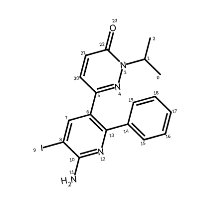 CC(C)n1nc(-c2cc(I)c(N)nc2-c2ccccc2)ccc1=O